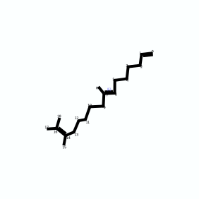 C=CCCCC/C=C(\C)CCCCCC(C)=C(C)C